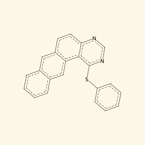 c1ccc(Sc2ncnc3ccc4cc5ccccc5cc4c23)cc1